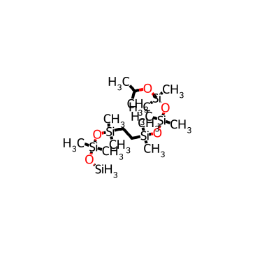 CC(C)O[Si](C)(C)O[Si](C)(C)O[Si](C)(C)CC[Si](C)(C)O[Si](C)(C)O[SiH3]